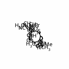 CCn1c(-c2cccnc2[C@H](C)OC)c2c3cc(ccc31)-c1csc(n1)C[C@H](NC(=O)C(C(C)C)N(C)C(=O)N1CC(C#N)(N(C)C)C1)C(=O)N1CCC[C@H](N1)C(=O)OCC(C)(C)C2